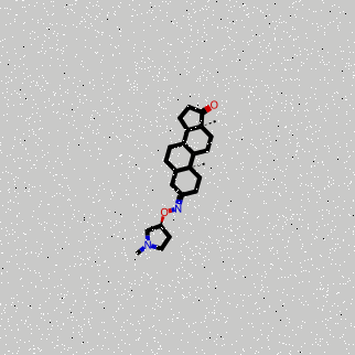 CN1CC[C@H](ON=C2CC[C@@]3(C)C(CCC4C3CC[C@]3(C)C(=O)CCC43)C2)C1